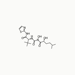 CC(C)CC[C@H](O)C(=O)N(O)C(=O)N[C@H](C(=O)Nc1nccs1)C(C)(C)C